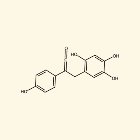 O=C=C(Cc1cc(O)c(O)cc1O)c1ccc(O)cc1